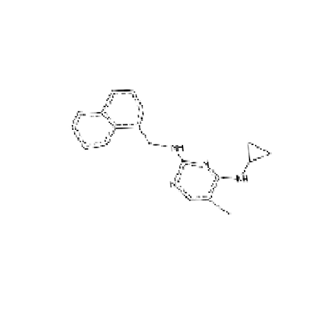 Cc1cnc(NCc2cccc3ccccc23)nc1NC1CC1